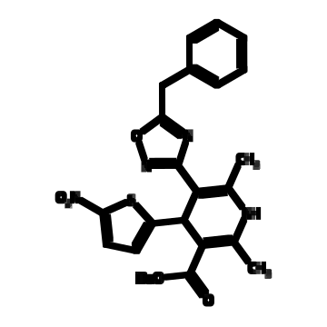 CC1=C(C(=O)OCC(C)C)C(c2ccc([N+](=O)[O-])s2)C(c2noc(Cc3ccccc3)n2)=C(C)N1